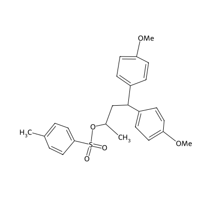 COc1ccc(C(CC(C)OS(=O)(=O)c2ccc(C)cc2)c2ccc(OC)cc2)cc1